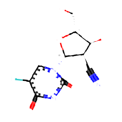 N#C[C@@H]1[C@H](O)[C@@H](CO)O[C@H]1n1cc(F)c(=O)[nH]c1=O